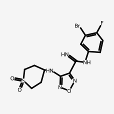 N=C(Nc1ccc(F)c(Br)c1)c1nonc1NC1CCS(=O)(=O)CC1